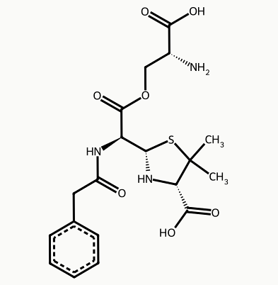 CC1(C)S[C@@H]([C@@H](NC(=O)Cc2ccccc2)C(=O)OC[C@@H](N)C(=O)O)N[C@H]1C(=O)O